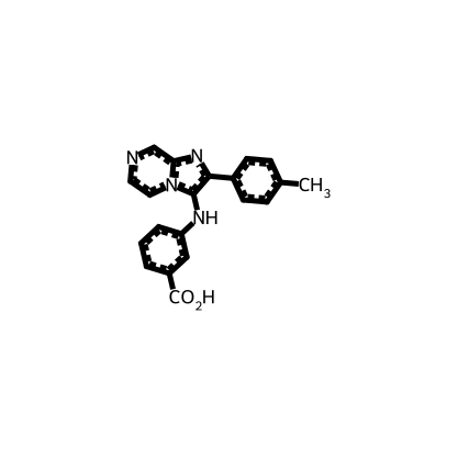 Cc1ccc(-c2nc3cnccn3c2Nc2cccc(C(=O)O)c2)cc1